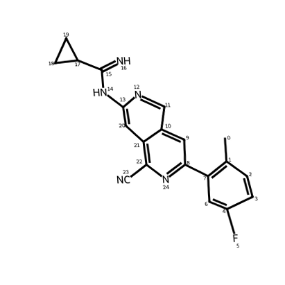 Cc1ccc(F)cc1-c1cc2cnc(NC(=N)C3CC3)cc2c(C#N)n1